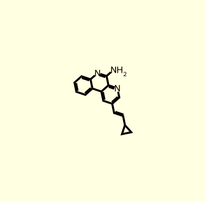 Nc1nc2ccccc2c2cc(/C=C/C3CC3)cnc12